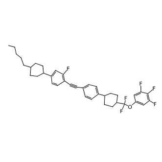 CCCCCC1CCC(c2ccc(C#Cc3ccc(C4CCC(C(F)(F)Oc5cc(F)c(F)c(F)c5)CC4)cc3)c(F)c2)CC1